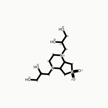 O=S1(=O)CC2C(C1)N(CC(O)CO)CCN2CC(O)CO